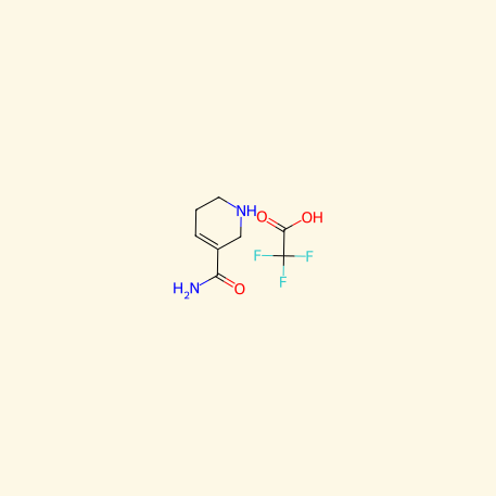 NC(=O)C1=CCCNC1.O=C(O)C(F)(F)F